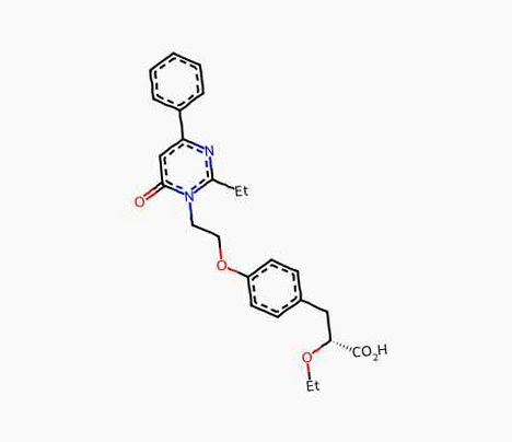 CCO[C@H](Cc1ccc(OCCn2c(CC)nc(-c3ccccc3)cc2=O)cc1)C(=O)O